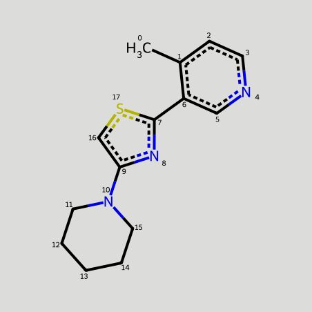 Cc1ccncc1-c1nc(N2CCCCC2)cs1